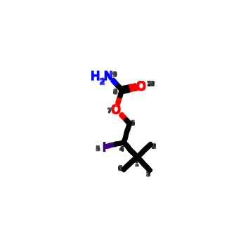 CC(C)(C)C(I)COC(N)=O